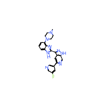 CN1CCN(c2cccc3[nH]c(-c4n[nH]c5cnc(-c6cncc(F)c6)cc45)nc23)CC1